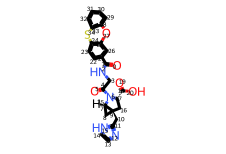 O=C(NCC(=O)N1[C@H]2C[C@@]2(Cc2ncc[nH]2)C[C@H]1C(=O)O)c1ccc2c(c1)Oc1ccccc1S2